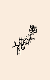 CC(C)C(=N)NC(=O)N1CCC([C@H](C)CCOS(C)(=O)=O)CC1